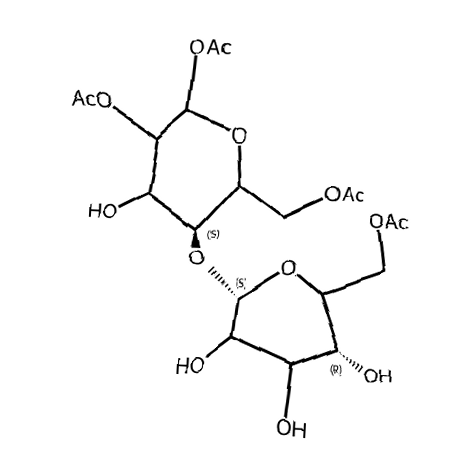 CC(=O)OCC1O[C@@H](O[C@@H]2C(COC(C)=O)OC(OC(C)=O)C(OC(C)=O)C2O)C(O)C(O)[C@H]1O